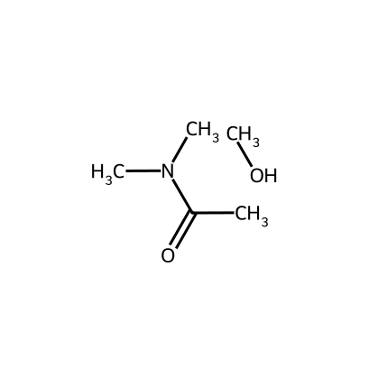 CC(=O)N(C)C.CO